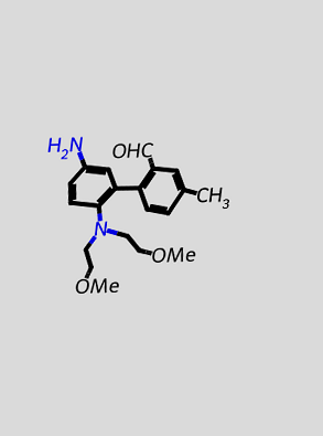 COCCN(CCOC)c1ccc(N)cc1-c1ccc(C)cc1C=O